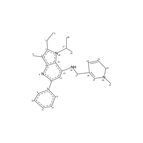 CCc1c(C)c2nc(-c3ccccc3)cc(NCC3=CN(C)CC=C3)c2n1C(C)C